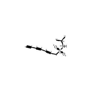 C#CC#CC#CCS(=O)(=O)NC(C)C